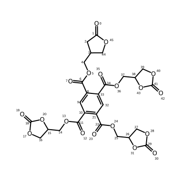 O=C1CC(COC(=O)c2cc(C(=O)OCC3COC(=O)O3)c(C(=O)OCC3COC(=O)O3)cc2C(=O)OCC2COC(=O)O2)CO1